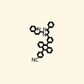 N#Cc1ccc(-c2c3ccccc3c(-c3cccc(-c4cc(-c5ccccc5)nc(-c5ccc6ccccc6n5)n4)c3)c3ccccc23)cc1